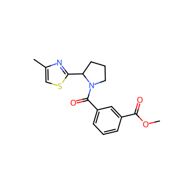 COC(=O)c1cccc(C(=O)N2CCCC2c2nc(C)cs2)c1